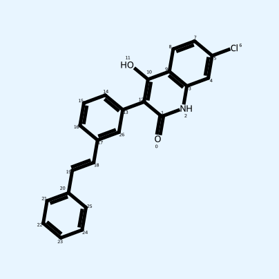 O=c1[nH]c2cc(Cl)ccc2c(O)c1-c1cccc(C=Cc2ccccc2)c1